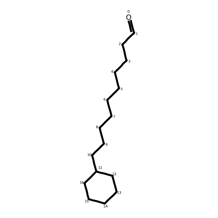 O=[C]CCCCCCCCCC1CCCCC1